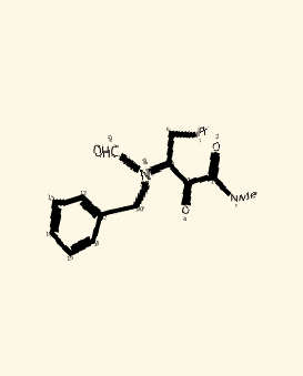 CNC(=O)C(=O)C(CC(C)C)N(C=O)Cc1ccccc1